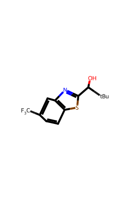 CC(C)(C)C(O)c1nc2cc(C(F)(F)F)ccc2s1